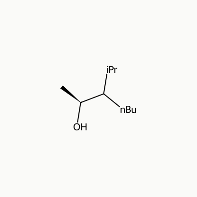 CCCCC(C(C)C)[C@H](C)O